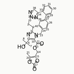 CCCc1nc(C(C)(C)O)c(C(=O)OCc2oc(=O)oc2C)n1Cc1ccc(-c2ccccc2C2=NN=NC2)cc1